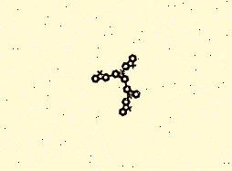 CC1(C)c2ccccc2-c2ccc(-c3ccc4c(c3)c3cc(-c5ccc6c(c5)c5ccccc5n6-c5ccc6c(c5)C(C)(C)c5ccccc5-6)ccc3n4-c3ccc4c(c3)C(C)(C)c3ccccc3-4)cc21